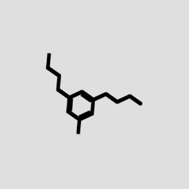 CCCCc1cc(C)cc(CCCC)c1